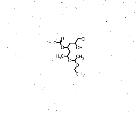 CCOC(C)OC(C)CC(CC(O)CC)OC(C)=O